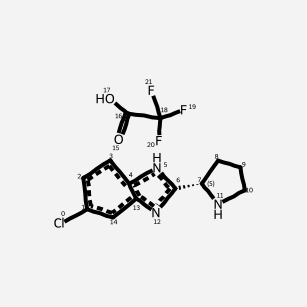 Clc1ccc2[nH]c([C@@H]3CCCN3)nc2c1.O=C(O)C(F)(F)F